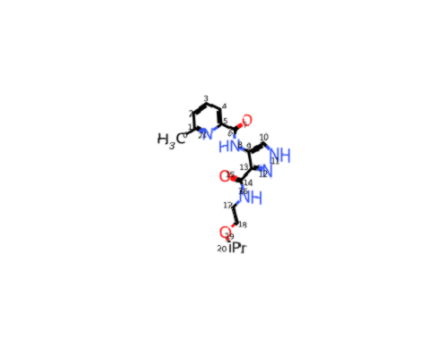 Cc1cccc(C(=O)Nc2c[nH]nc2C(=O)NCCOC(C)C)n1